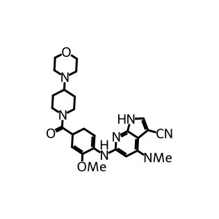 CNc1cc(NC2=CCC(C(=O)N3CCC(N4CCOCC4)CC3)C=C2OC)nc2[nH]cc(C#N)c12